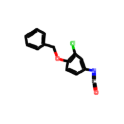 O=C=Nc1ccc(OCc2ccccc2)c(Cl)c1